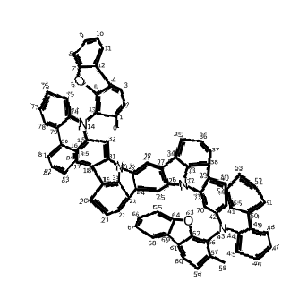 Cc1ccc2c(oc3ccccc32)c1N(c1ccc2c3cccc4c5cc6c(cc5n(c2c1)c34)c1cccc2c3ccc(N(c4ccccc4-c4ccccc4)c4c(C)ccc5c4oc4ccccc45)cc3n6c21)c1ccccc1-c1ccccc1